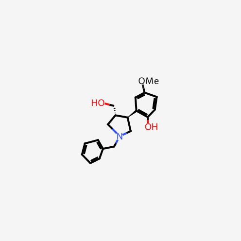 COc1ccc(O)c([C@H]2CN(Cc3ccccc3)C[C@@H]2CO)c1